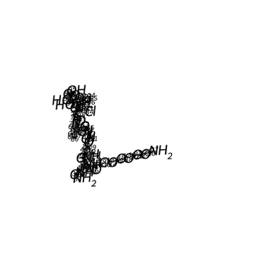 CC(C)C(NC(=O)CCOCCOCCOCCOCCOCCOCCN)C(=O)N[C@@H](CCCNC(N)=O)C(=O)Nc1ccc(COC(=O)N(C)CCN(C)C(=O)Oc2cc3c(c4ccccc24)CCN3C(=O)c2ccc(C(=O)N3C[C@@H](CCl)c4c3cc(O[C@@H]3OC(C(=O)O)C(O)C(O)[C@@H]3O)c3ccccc43)s2)cc1